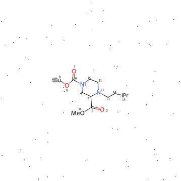 COC(=O)C1CN(C(=O)OC(C)(C)C)CCN1CCC(C)C